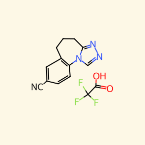 N#Cc1ccc2c(c1)CCCc1nncn1-2.O=C(O)C(F)(F)F